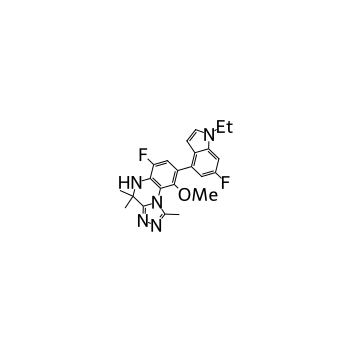 CCn1ccc2c(-c3cc(F)c4c(c3OC)-n3c(C)nnc3C(C)(C)N4)cc(F)cc21